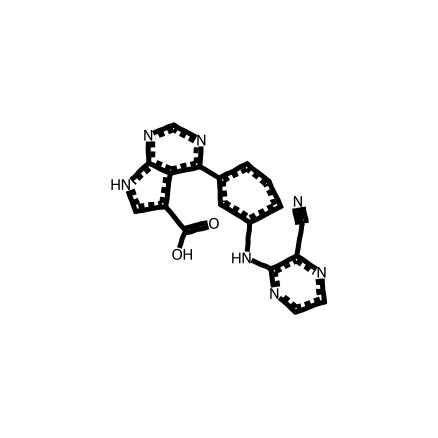 N#Cc1nccnc1Nc1cccc(-c2ncnc3[nH]cc(C(=O)O)c23)c1